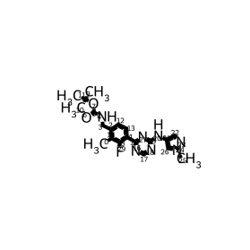 Cc1c(CNC(=O)OC(C)(C)C)ccc(-c2ncnc(Nc3cnn(C)c3)n2)c1F